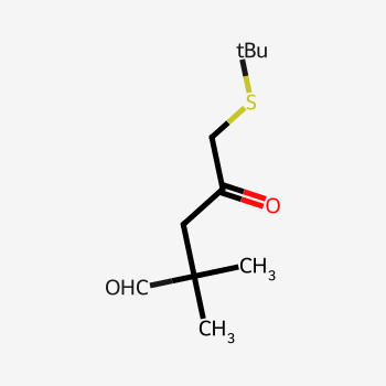 CC(C)(C=O)CC(=O)CSC(C)(C)C